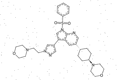 O=S(=O)(c1ccccc1)n1cc(-c2cnn(CCN3CCOCC3)c2)c2cc([C@H]3CC[C@H](N4CCOCC4)CC3)cnc21